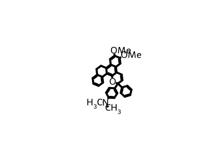 COc1cc2c3c(c4c(c2cc1OC)CCc1ccccc1-4)OC(c1ccccc1)(c1ccc(N(C)C)cc1)C=C3